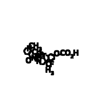 CCCc1cc(OCC(=O)O)cc(F)c1C1(C)CCN(CNC(=O)C2=C(C)N(C)CCC2)CC1